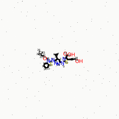 CN(c1cc(C2CC2)c(/N=c2\sc3ccccc3n2COCC[Si](C)(C)C)nn1)c1nc(C(=O)O)c(C#CCO)s1